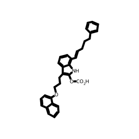 O=C(O)Oc1[nH]c2c(/C=C/CCCc3ccccc3)cccc2c1CCCOc1cccc2ccccc12